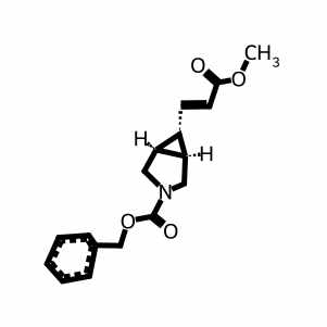 COC(=O)/C=C/[C@@H]1[C@H]2CN(C(=O)OCc3ccccc3)C[C@@H]12